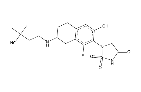 CC(C)(C#N)CCNC1CCc2cc(O)c(N3CC(=O)NS3(=O)=O)c(F)c2C1